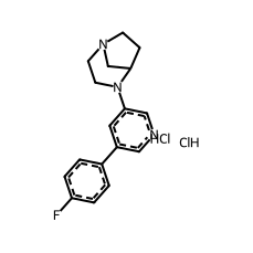 Cl.Cl.Fc1ccc(-c2cncc(N3CCN4CCC3C4)c2)cc1